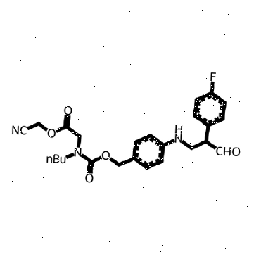 CCCCN(CC(=O)OCC#N)C(=O)OCc1ccc(NCC(C=O)c2ccc(F)cc2)cc1